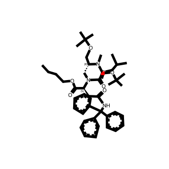 CCCCOC(=O)[C@H](CC(=O)NC(c1ccccc1)(c1ccccc1)c1ccccc1)N(C[C@H](COC(C)(C)C)N(C)C(=O)OC(C)(C)C)C(=O)OCC(C)C